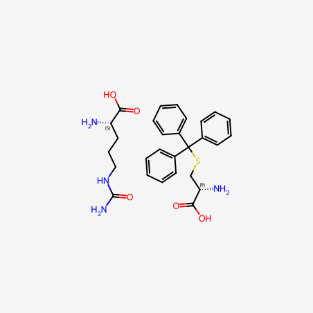 NC(=O)NCCC[C@H](N)C(=O)O.N[C@@H](CSC(c1ccccc1)(c1ccccc1)c1ccccc1)C(=O)O